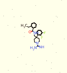 CCc1ccccc1C(=O)NCC1(c2cccc(F)c2F)CCN(C(=N)N)CC1